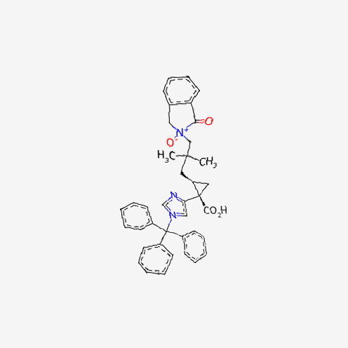 CC(C)(C[C@H]1C[C@]1(C(=O)O)c1cn(C(c2ccccc2)(c2ccccc2)c2ccccc2)cn1)C[N+]1([O-])Cc2ccccc2C1=O